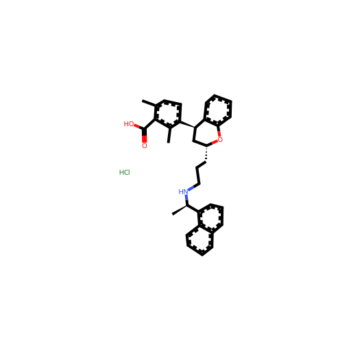 Cc1ccc([C@@H]2C[C@@H](CCCN[C@H](C)c3cccc4ccccc34)Oc3ccccc32)c(C)c1C(=O)O.Cl